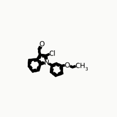 CCOc1cccc(-n2c(Cl)c(C=O)c3ccccc32)c1